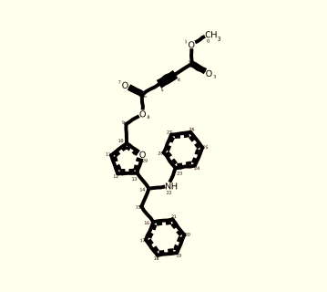 COC(=O)C#CC(=O)OCc1ccc(C(Cc2ccccc2)Nc2ccccc2)o1